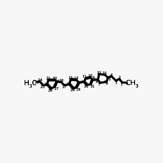 CCCCCC1CCC(c2ccc(-c3ccc(CCc4ccc(CCC)cc4)cc3)cc2)CC1